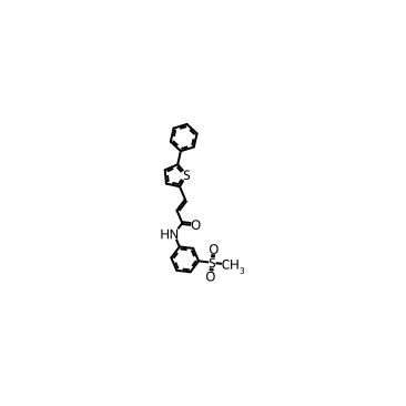 CS(=O)(=O)c1cccc(NC(=O)C=Cc2ccc(-c3ccccc3)s2)c1